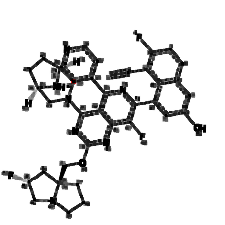 C#Cc1c(F)ccc2cc(O)cc(-c3nc(-c4ccncc4)c4c(N5C[C@H]6CC[C@@H](C5)N6)nc(OC[C@@]56CCCN5C[C@H](F)C6)nc4c3F)c12